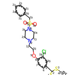 CCCSC(SCCC)c1ccc(OCCN2CCN(S(=O)(=O)Cc3ccccc3)CC2)c(Cl)c1